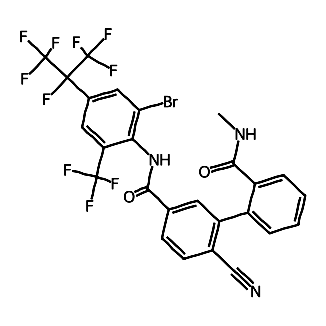 CNC(=O)c1ccccc1-c1cc(C(=O)Nc2c(Br)cc(C(F)(C(F)(F)F)C(F)(F)F)cc2C(F)(F)F)ccc1C#N